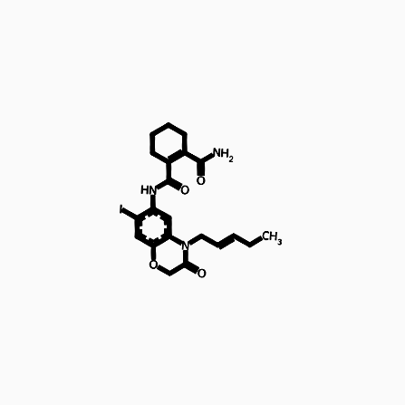 CCC=CCN1C(=O)COc2cc(I)c(NC(=O)C3=C(C(N)=O)CCCC3)cc21